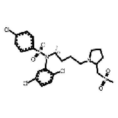 C[C@H](CCCN1CCCC1CS(C)(=O)=O)N(c1cc(Cl)ccc1Cl)S(=O)(=O)c1ccc(Cl)cc1